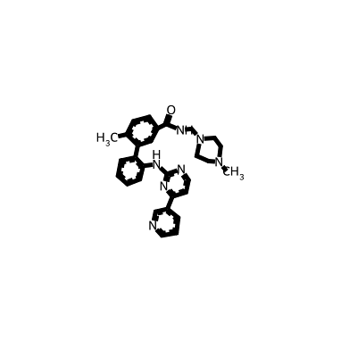 Cc1ccc(C(=O)NCN2CCN(C)CC2)cc1-c1ccccc1Nc1nccc(-c2cccnc2)n1